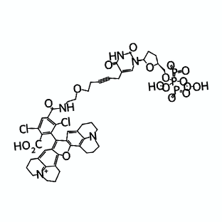 O=C(NCCOCCC#CCc1cn([C@H]2CC[C@@H](COP(OO)(OOO)(P(=O)=O)P(=O)=O)O2)c(=O)[nH]c1=O)c1cc(Cl)c(C(=O)O)c(C2=c3cc4c5c(c3Oc3c2cc2c6c3CCCN6CCC2)CCC[N+]=5CCC4)c1Cl